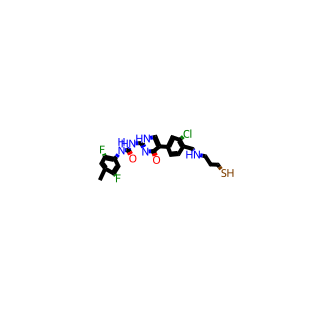 Cc1cc(F)c(NC(=O)Nc2nc(=O)c(-c3ccc(CNCCCS)c(Cl)c3)c[nH]2)cc1F